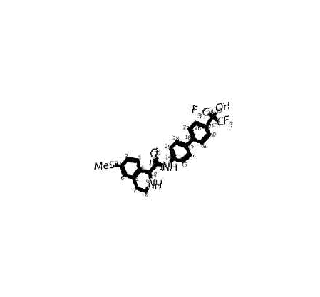 CSc1ccc2c(c1)CCNC2C(=O)Nc1ccc(-c2ccc(C(O)(C(F)(F)F)C(F)(F)F)cc2)cc1